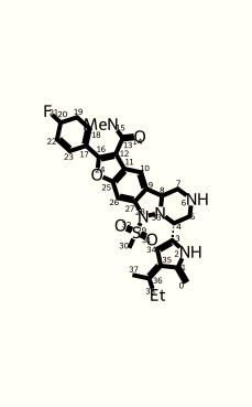 C=c1[nH]c([C@H]2CNCC3c4cc5c(C(=O)NC)c(C6=CCC(F)C=C6)oc5cc4N(S(C)(=O)=O)N32)c/c1=C(\C)CC